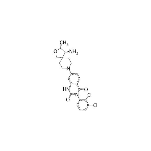 C[C@@H]1OCC2(CCN(c3ccc4c(=O)n(-c5cccc(Cl)c5Cl)c(=O)[nH]c4c3)CC2)[C@@H]1N